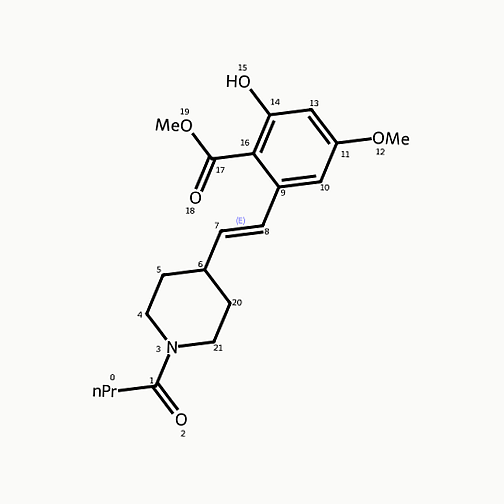 CCCC(=O)N1CCC(/C=C/c2cc(OC)cc(O)c2C(=O)OC)CC1